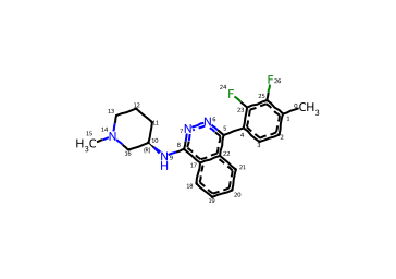 Cc1ccc(-c2nnc(N[C@@H]3CCCN(C)C3)c3ccccc23)c(F)c1F